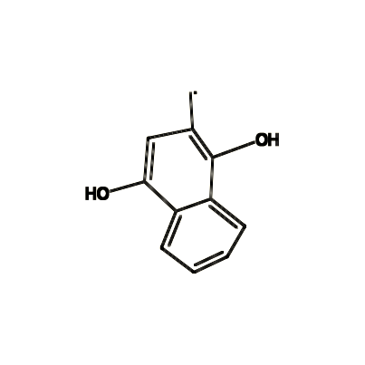 [CH2]c1cc(O)c2ccccc2c1O